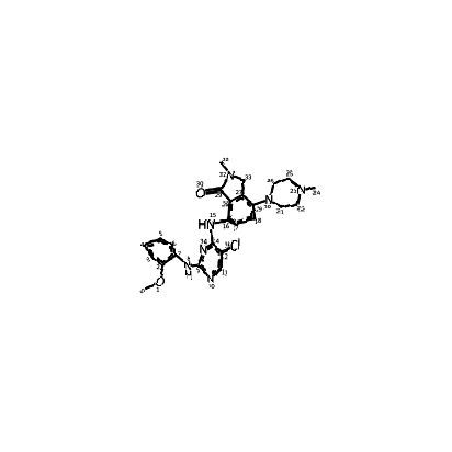 COc1ccccc1Nc1ncc(Cl)c(Nc2ccc(N3CCN(C)CC3)c3c2C(=O)N(C)C3)n1